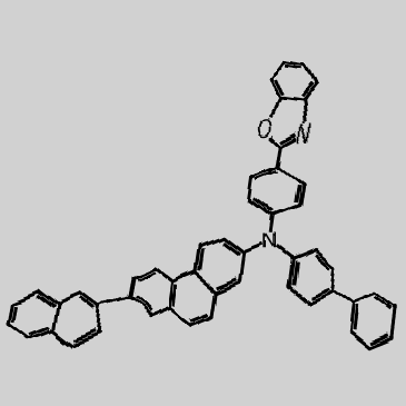 c1ccc(-c2ccc(N(c3ccc(-c4nc5ccccc5o4)cc3)c3ccc4c(ccc5cc(-c6ccc7ccccc7c6)ccc54)c3)cc2)cc1